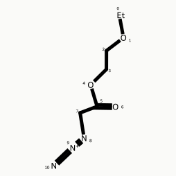 CCOCCOC(=O)CN=[N+]=[N-]